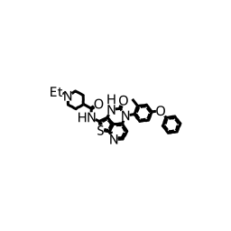 CCN1CCC(C(=O)Nc2sc3nccc4c3c2NC(=O)N4c2ccc(Oc3ccccc3)cc2C)CC1